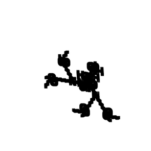 CCCCCC(CC)OC(=O)CCCCCCCCN(CCCCCCCCC(=O)OC(CC)CCCCC)CCCNC(=O)c1cc(C(=O)NCCCNC(=O)OC(C)(C)C)cc(C(=O)NCCCN(CCCCCCCCC(=O)OC(CC)CCCCC)CCCCCCCCC(=O)OC(CC)CCCCC)c1